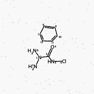 NN(N)C(=O)NCl.c1ccccc1